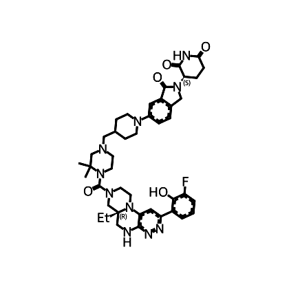 CC[C@]12CNc3nnc(-c4cccc(F)c4O)cc3N1CCN(C(=O)N1CCN(CC3CCN(c4ccc5c(c4)C(=O)N([C@H]4CCC(=O)NC4=O)C5)CC3)CC1(C)C)C2